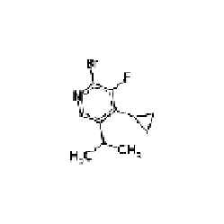 CC(C)c1cnc(Br)c(F)c1C1CC1